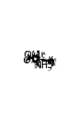 COC(=O)c1ccc(C#Cc2cccs2)c(N)c1